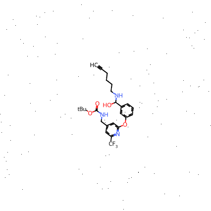 C#CCCCCNC(O)c1cccc(Oc2cc(CNC(=O)OC(C)(C)C)cc(C(F)(F)F)n2)c1